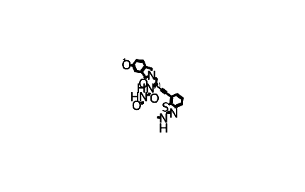 CNc1nc2cccc(C#C[C@H](CN3Cc4ccc(OC)cc4C3=O)NC(=O)NC=O)c2s1